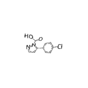 O=C(O)n1nccc1-c1ccc(Cl)cc1